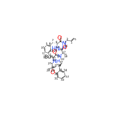 C=CCNC(=O)[C@@H](Cc1ccccc1)NC(=O)[C@@H](C)N(C)C(=O)C(NCC(C)(C)Oc1ccccc1C=C)C(C)CC